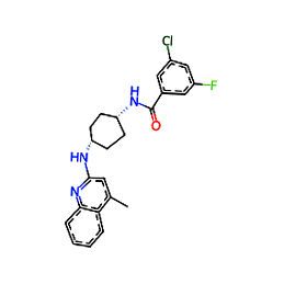 Cc1cc(N[C@H]2CC[C@@H](NC(=O)c3cc(F)cc(Cl)c3)CC2)nc2ccccc12